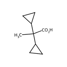 CC(C(=O)O)(C1CC1)C1CC1